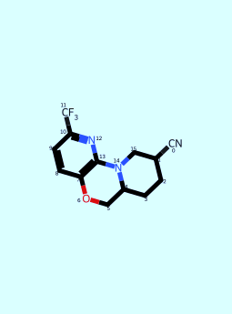 N#CC1CCC2COc3ccc(C(F)(F)F)nc3N2C1